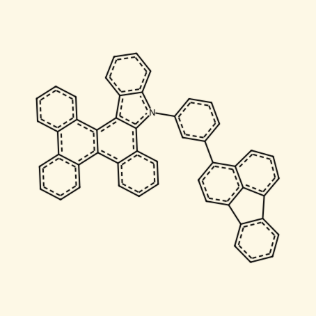 c1cc(-c2ccc3c4c(cccc24)-c2ccccc2-3)cc(-n2c3ccccc3c3c4c5ccccc5c5ccccc5c4c4ccccc4c32)c1